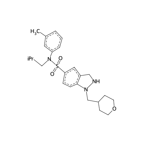 Cc1cccc(N(CC(C)C)S(=O)(=O)c2ccc3c(c2)CNN3CC2CCOCC2)c1